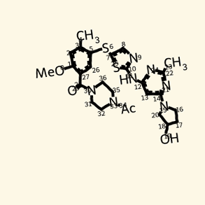 COc1cc(C)c(Sc2cnc(Nc3cc(N4CCC(O)C4)nc(C)n3)s2)cc1C(=O)N1CCN(C(C)=O)CC1